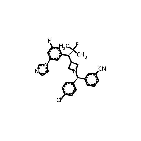 CC(C)(F)[C@@H](c1cc(F)cc(-n2ccnc2)c1)C1CN([C@H](c2ccc(Cl)cc2)c2cccc(C#N)c2)C1